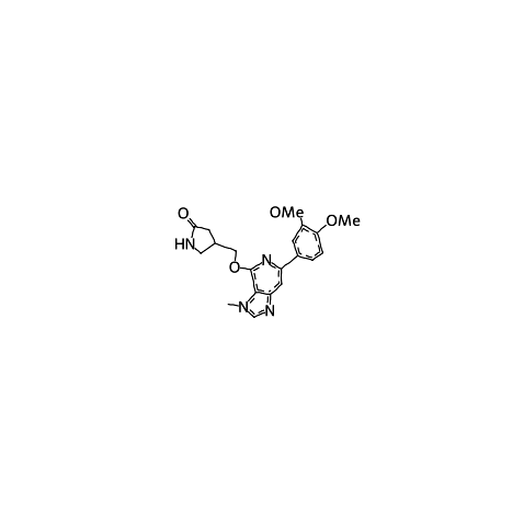 COc1ccc(-c2cc3ncn(C)c3c(OCC3CNC(=O)C3)n2)cc1OC